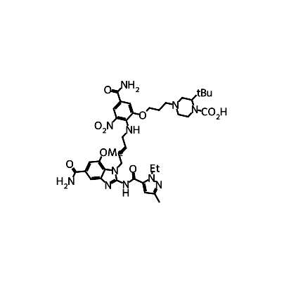 CCn1nc(C)cc1C(=O)Nc1nc2cc(C(N)=O)cc(OC)c2n1CC=CCNc1c(OCCCN2CCN(C(=O)O)C(C(C)(C)C)C2)cc(C(N)=O)cc1[N+](=O)[O-]